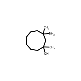 CC1(N)CCCCCCC(C)(O)C1